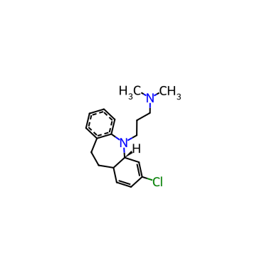 CN(C)CCCN1c2ccccc2CCC2C=CC(Cl)=C[C@H]21